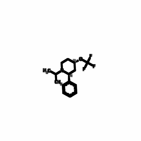 CC(C)N1CC[C@H](OC(F)(F)F)C[C@H]1c1ccccc1